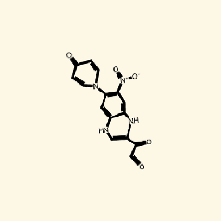 O=CC(=O)C1=CNc2cc(-n3ccc(=O)cc3)c([N+](=O)[O-])cc2N1